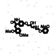 COc1ccc(C=C(C(N)=O)c2ccc(OCC(O)CNCCOc3ccccc3OC)cc2)c(OC)c1